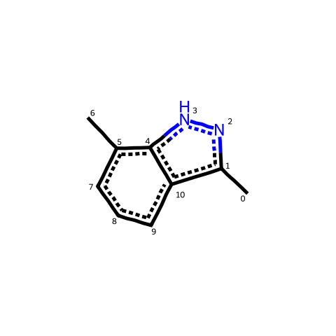 Cc1n[nH]c2c(C)cccc12